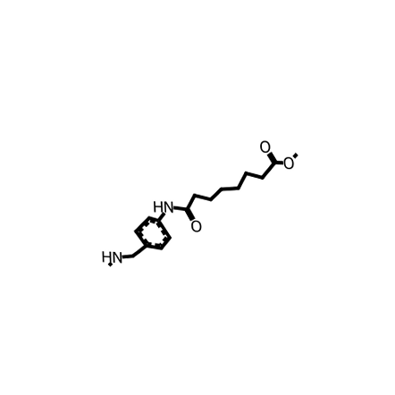 CNCc1ccc(NC(=O)CCCCCCC(=O)OC)cc1